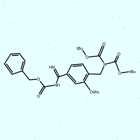 COc1cc(C(=N)NC(=O)OCc2ccccc2)ccc1CN(C(=O)OC(C)(C)C)C(=O)OC(C)(C)C